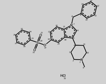 CN1CCC(c2cn(Cc3ccccc3)c3ccc(OS(=O)(=O)c4ccccc4)cc23)CC1.Cl